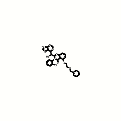 O=c1c2c(OCCOCc3ccccc3)cccc2nc(C(S)c2ncnc3[nH]cnc23)n1-c1ccccc1Cl